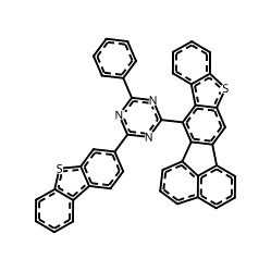 c1ccc(-c2nc(-c3ccc4c(c3)sc3ccccc34)nc(-c3c4c(cc5sc6ccccc6c35)-c3cccc5cccc-4c35)n2)cc1